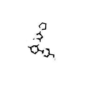 Cn1nc(N2CCCC2)cc1Oc1cc(F)ccc1-c1ncc(CN)cn1